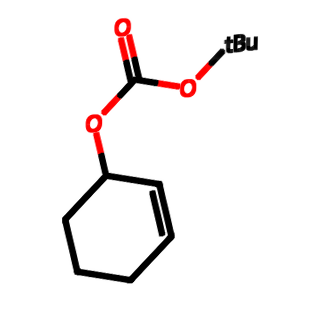 CC(C)(C)OC(=O)OC1C=CCCC1